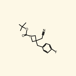 CC(C)(C)OC(=O)N1CC(CC#N)(Cc2ccc(F)cc2)C1